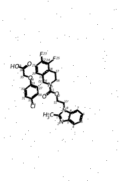 Cc1nc2ccccc2n1CCOC(=O)N1CCc2c(ccc(F)c2F)[C@H]1c1cc(Cl)ccc1OCC(=O)O